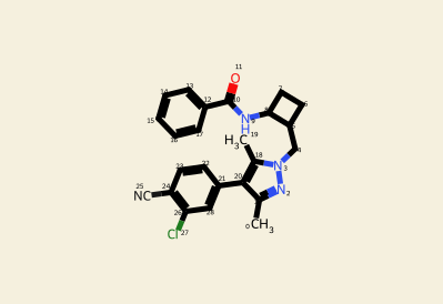 Cc1nn(CC2CCC2NC(=O)c2ccccc2)c(C)c1-c1ccc(C#N)c(Cl)c1